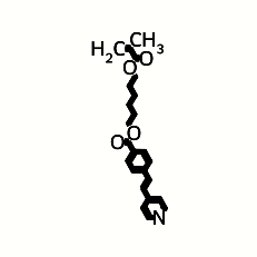 C=C(C)C(=O)OCCCCCCOC(=O)c1ccc(/C=C/c2ccncc2)cc1